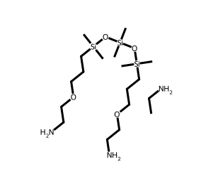 CCN.C[Si](C)(CCCOCCN)O[Si](C)(C)O[Si](C)(C)CCCOCCN